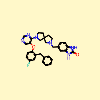 O=c1[nH]c2ccc(CN3CCC4(CCN(c5ncncc5Oc5ccc(F)cc5Cc5ccccc5)C4)C3)cc2[nH]1